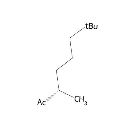 CC(=O)[C@@H](C)CCCC(C)(C)C